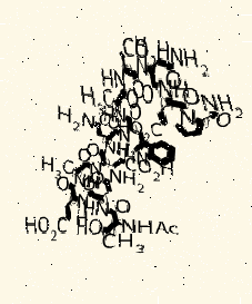 CC(=O)N[C@H](C(=O)N[C@@H](CC(N)=O)C(=O)N[C@@H](CCC(=O)O)C(=O)N[C@@H](C)C(=O)N[C@@H](CCC(=O)O)C(=O)N[C@@H](CC(N)=O)C(=O)N[C@@H](Cc1c[nH]c2ccccc12)C(=O)N[C@@H](C)C(=O)N[C@@H](CC(=O)O)C(=O)N[C@@H](CC(N)=O)C(=O)N[C@@H](CCC(=O)O)C(=O)N1CCC[C@H]1C(N)=O)[C@@H](C)O